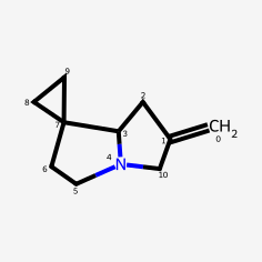 C=C1CC2N(CCC23CC3)C1